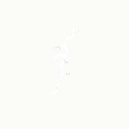 C[Si](C)(C)CCOC(Br)c1ccc2[nH]c(CCO)cc2n1